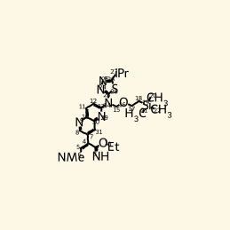 CCOC(=N)/C(=C\NC)c1cnc2ccc(N(COCC[Si](C)(C)C)c3nnc(C(C)C)s3)nc2c1